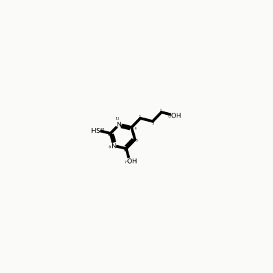 OCCCc1cc(O)nc(S)n1